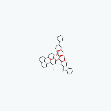 CC1(C)c2ccccc2-c2ccc(N(c3ccccc3)c3ccc(-c4cccc5cccc(-c6ccc(N(c7ccccc7)c7ccc(-c8ccccc8)cc7)cc6)c45)cc3)cc21